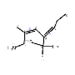 CC/C=C(\C=C(\C)CN)C(F)(F)F